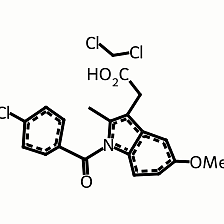 COc1ccc2c(c1)c(CC(=O)O)c(C)n2C(=O)c1ccc(Cl)cc1.ClCCl